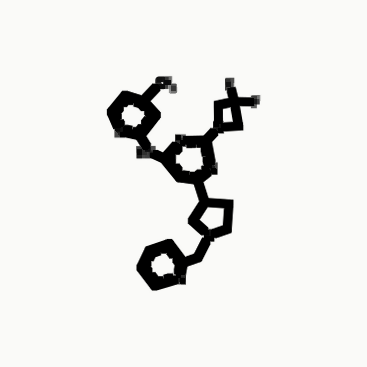 FC1(F)CN(c2nc(Nc3cc(C(F)(F)F)ccn3)cc(C3CCN(Cc4ccccn4)C3)n2)C1